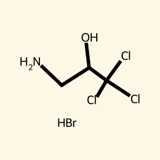 Br.NCC(O)C(Cl)(Cl)Cl